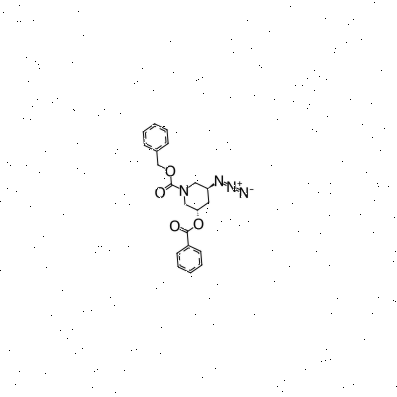 [N-]=[N+]=N[C@H]1C[C@H](OC(=O)c2ccccc2)CN(C(=O)OCc2ccccc2)C1